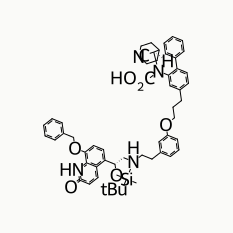 CC(C)(C)[Si](C)(C)O[C@@H](CNCCc1cccc(OCCCc2ccc(-c3ccccc3)c(N(C(=O)O)[C@H]3CN4CCC3CC4)c2)c1)c1ccc(OCc2ccccc2)c2[nH]c(=O)ccc12